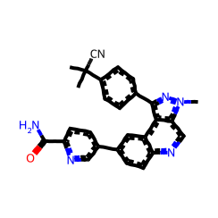 Cn1nc(-c2ccc(C(C)(C)C#N)cc2)c2c3cc(-c4ccc(C(N)=O)nc4)ccc3ncc21